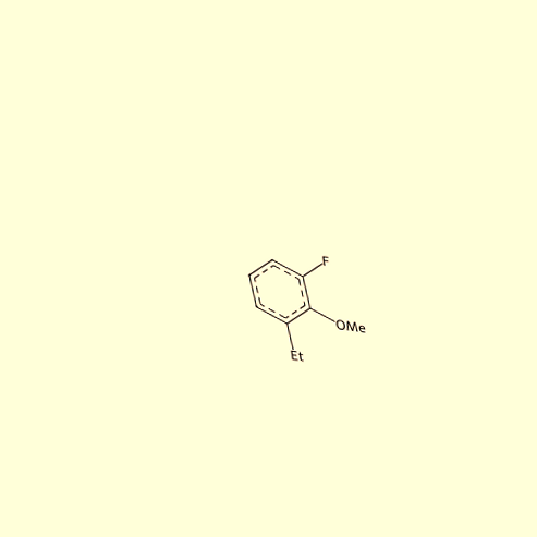 CCc1cccc(F)c1OC